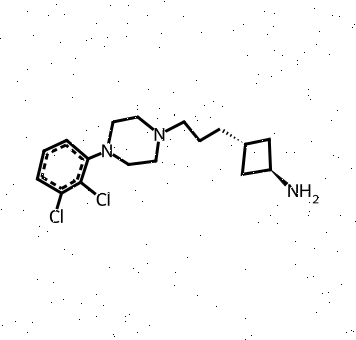 N[C@H]1C[C@H](CCCN2CCN(c3cccc(Cl)c3Cl)CC2)C1